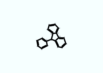 [c]1ccc(C2c3ccccc3-c3ccccc32)cc1